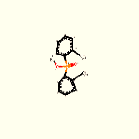 CCOP(=O)(c1ccccc1C)c1ccccc1C